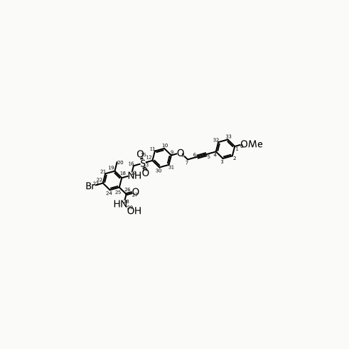 COc1ccc(C#CCOc2ccc(S(=O)(=O)CNc3c(C)cc(Br)cc3C(=O)NO)cc2)cc1